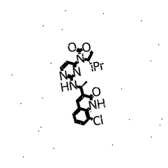 CC(C)[C@H]1COC(=O)N1c1ccnc(N[C@@H](C)c2cc3cccc(Cl)c3[nH]c2=O)n1